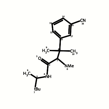 CNC(C(=O)NC(C)C(C)(C)C)C(C)(C)c1cccc(C#N)c1